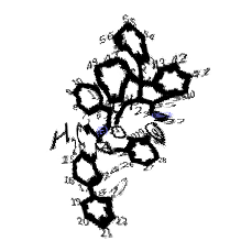 C=C/C(=C\C(=C)C1=CCCCC1)N(C1=CCCC(c2ccccc2)=C1)c1cccc2c1OCCC1=C(/C=C/O2)c2ccccc2C1(c1ccccc1)c1ccccc1